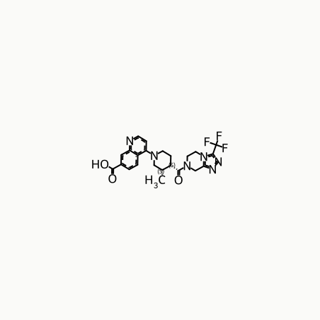 C[C@@H]1CN(c2ccnc3cc(C(=O)O)ccc23)CC[C@@H]1C(=O)N1CCn2c(nnc2C(F)(F)F)C1